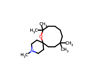 CN1CCC2(CC1)CCC(C)(C)CCCCC(C)(C)O2